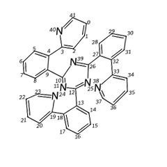 c1ccc(-c2ccccc2-c2nc(-c3ccccc3-c3ccccn3)nc(-c3ccccc3-c3ccccn3)n2)nc1